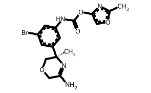 Cc1nc(OC(=O)Nc2cc(Br)cc([C@]3(C)COCC(N)=N3)c2)co1